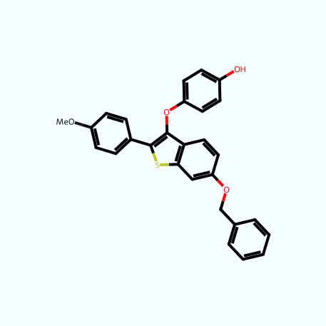 COc1ccc(-c2sc3cc(OCc4ccccc4)ccc3c2Oc2ccc(O)cc2)cc1